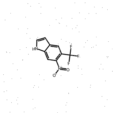 O=[N+]([O-])c1cc2[nH]ccc2cc1C(F)(F)F